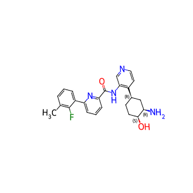 Cc1cccc(-c2cccc(C(=O)Nc3cnccc3[C@@H]3CC[C@H](O)[C@H](N)C3)n2)c1F